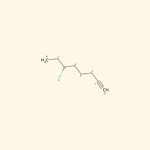 C#CCCCC(F)CC